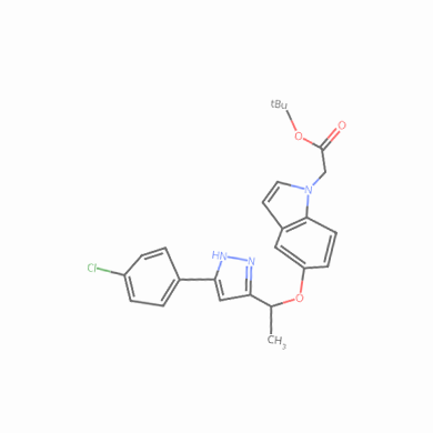 CC(Oc1ccc2c(ccn2CC(=O)OC(C)(C)C)c1)c1cc(-c2ccc(Cl)cc2)[nH]n1